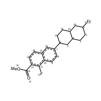 CCC1CCC2CC(c3ccc4c(F)c(C(=O)OC)ccc4c3)CCC2C1